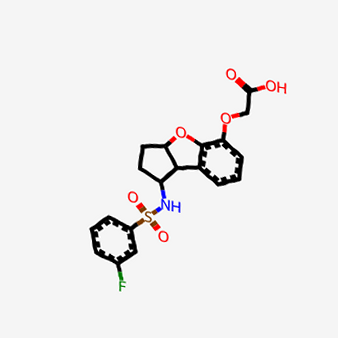 O=C(O)COc1cccc2c1OC1CCC(NS(=O)(=O)c3cccc(F)c3)C21